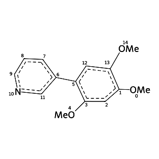 COc1cc(OC)c(-c2cccnc2)cc1OC